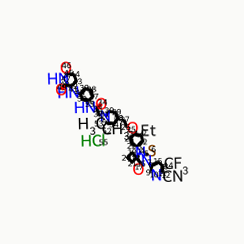 CCc1cc(N2C(=S)N(c3cnc(C#N)c(C(F)(F)F)c3)C(=O)C23CCC3)ccc1OCC[C@@H]1CCN(CC(=O)Nc2cccc(NC3CCC(=O)NC3=O)c2)C(C)(C)C1.Cl